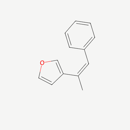 CC(=Cc1ccccc1)c1ccoc1